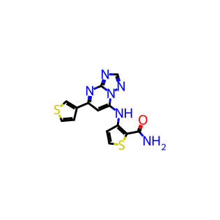 NC(=O)c1sccc1Nc1cc(-c2ccsc2)nc2ncnn12